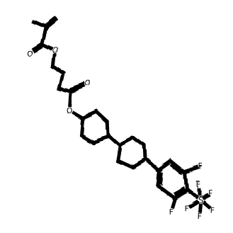 C=C(C)C(=O)OCCCC(=O)OC1CCC(C2CCC(c3cc(F)c(S(F)(F)(F)(F)F)c(F)c3)CC2)CC1